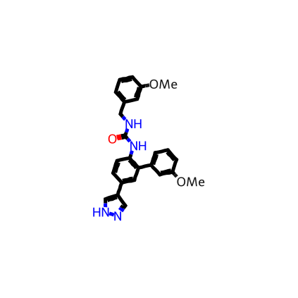 COc1cccc(CNC(=O)Nc2ccc(-c3cn[nH]c3)cc2-c2cccc(OC)c2)c1